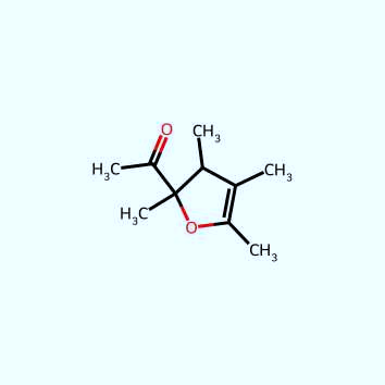 CC(=O)C1(C)OC(C)=C(C)C1C